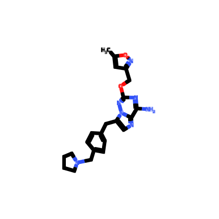 Cc1cc(COc2nc(N)c3ncc(Cc4ccc(CN5CCCC5)cc4)n3n2)no1